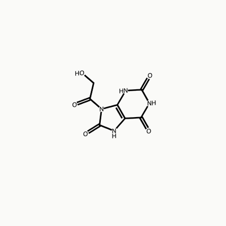 O=C(CO)n1c(=O)[nH]c2c(=O)[nH]c(=O)[nH]c21